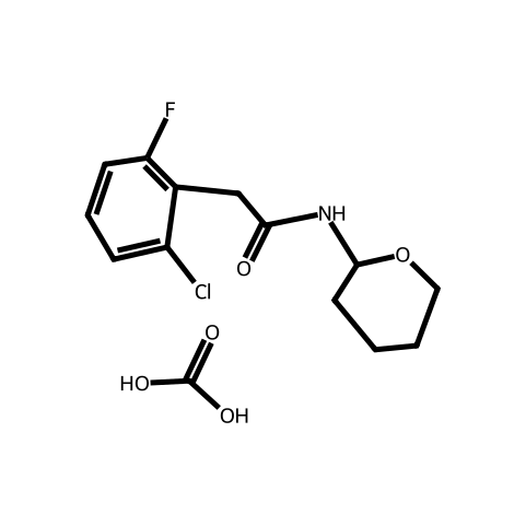 O=C(Cc1c(F)cccc1Cl)NC1CCCCO1.O=C(O)O